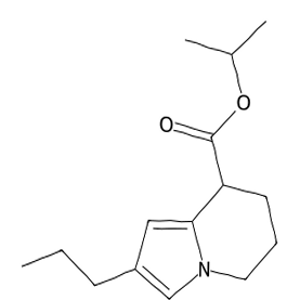 CCCc1cc2n(c1)CCCC2C(=O)OC(C)C